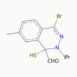 Cc1ccc2c(c1)C(S)(C=O)N(C(C)C)N=C2Br